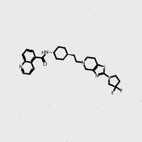 O=C(N[C@H]1CC[C@H](CCN2CCc3sc(N4CCC(F)(F)C4)nc3C2)CC1)c1cccc2ncccc12